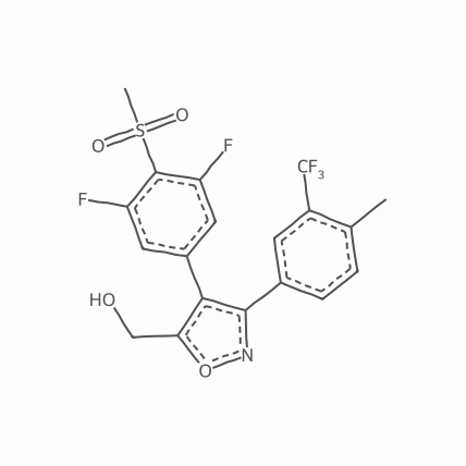 Cc1ccc(-c2noc(CO)c2-c2cc(F)c(S(C)(=O)=O)c(F)c2)cc1C(F)(F)F